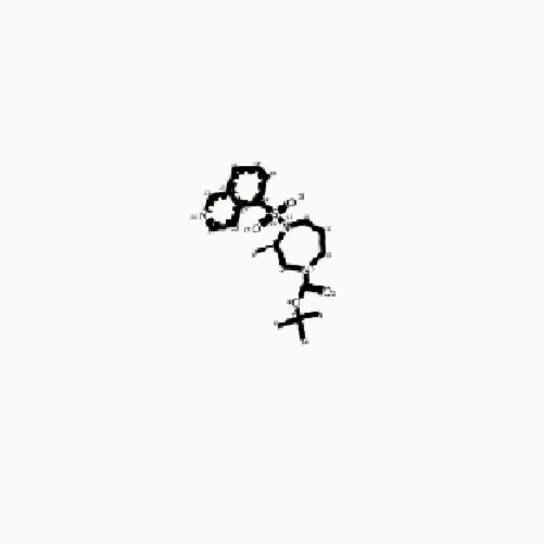 C[C@@H]1CN(C(=O)OC(C)(C)C)CCCN1S(=O)(=O)c1cccc2cnccc12